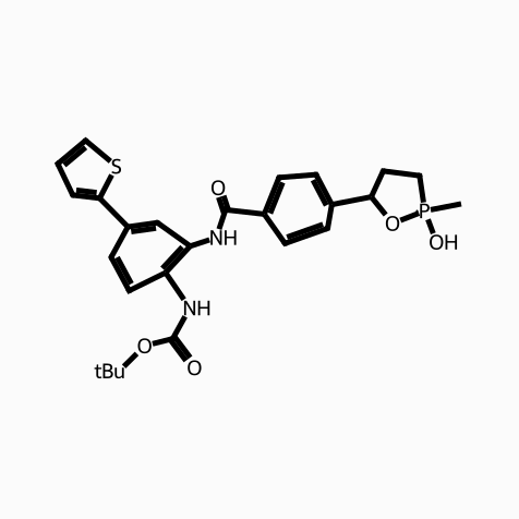 CC(C)(C)OC(=O)Nc1ccc(-c2cccs2)cc1NC(=O)c1ccc(C2CC[P](C)(O)O2)cc1